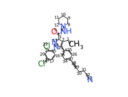 CCc1c(C(=O)NN2CCCCC2)nn(-c2ccc(Cl)cc2Cl)c1-c1ccc(C#CCCC#N)cc1